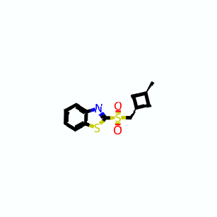 C[C@H]1C[C@@H](CS(=O)(=O)c2nc3ccccc3s2)C1